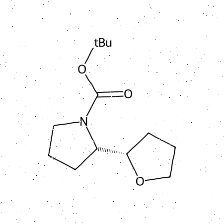 CC(C)(C)OC(=O)N1CCCC1[C@@H]1CCCO1